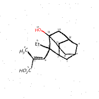 CCC1(C=C(C)C(=O)O)[C]2CC3CC(C2)CC1(O)C3